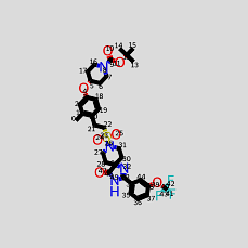 Cc1cc(OC2CCN(C(=O)OC(C)(C)C)CC2)ccc1CCS(=O)(=O)N1CCC2(CC1)N=C(c1cccc(OC(F)(F)F)c1)NC2=O